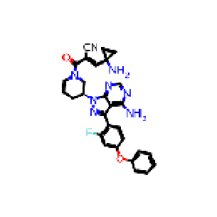 N#CC(=CC1(N)CC1)C(=O)N1CCC[C@H](n2nc(-c3ccc(Oc4ccccc4)cc3F)c3c(N)ncnc32)C1